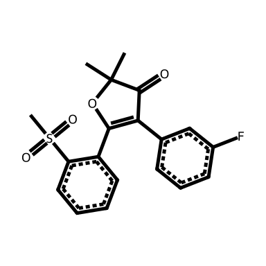 CC1(C)OC(c2ccccc2S(C)(=O)=O)=C(c2cccc(F)c2)C1=O